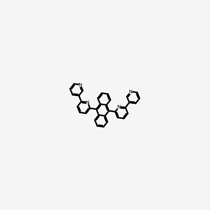 c1cncc(-c2cccc(-c3c4ccccc4c(-c4cccc(-c5cccnc5)n4)c4ccccc34)n2)c1